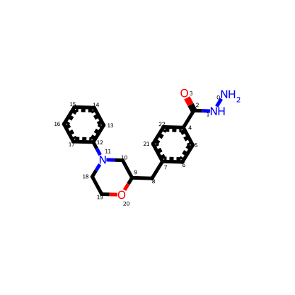 NNC(=O)c1ccc(CC2CN(c3ccccc3)CCO2)cc1